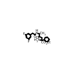 CCOC(=O)C(N)(CC(=O)[C@H](C)NC(=O)Cc1cc(F)cc(F)c1)c1ccccc1